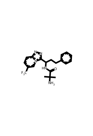 CC(C)(N)C(=O)NC(CCc1ccccc1)c1nnc2ccc(C(F)(F)F)cn12